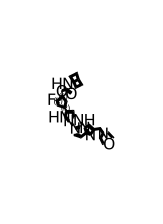 O=C(NC12CCC1CC2)O[C@H]1C[C@@H](c2cc(Nc3nccc4nc(CN5CCOCC5)cn34)n[nH]2)C[C@H]1F